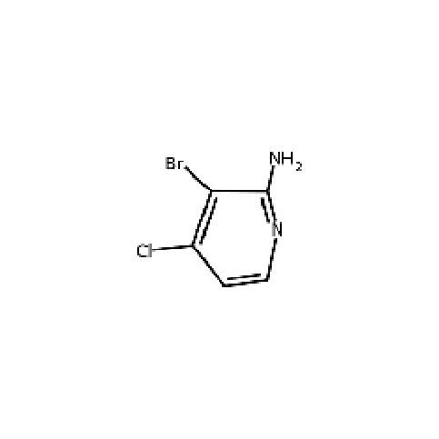 Nc1nccc(Cl)c1Br